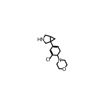 ClC1=CC(C23CNCC2C3)=CCC1N1CCOCC1